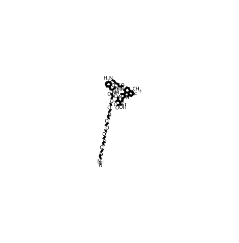 CC[C@@]1(O)C(=O)OCc2c1cc1n(c2=O)Cc2c-1nc1cc(F)c(C)c3c1c2[C@@H](NC(=O)C(CCCCN)NC(=O)C(Cc1ccccc1)NC(=O)CCOCCOCCOCCOCCOCCOCCOCCOCCOCCN=[N+]=[N-])CC3